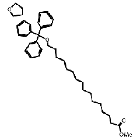 C1CCOC1.COC(=O)CCCCCCCCCCCCCCCOC(c1ccccc1)(c1ccccc1)c1ccccc1